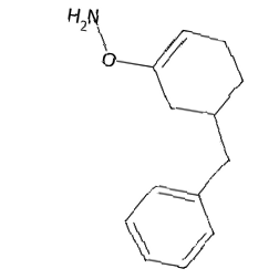 NOC1=CCCC(Cc2ccccc2)C1